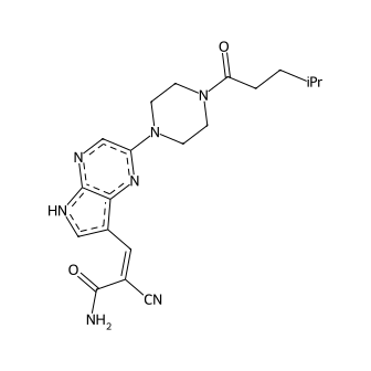 CC(C)CCC(=O)N1CCN(c2cnc3[nH]cc(C=C(C#N)C(N)=O)c3n2)CC1